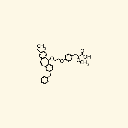 CCc1ccc2c(c1)C=Cc1cc(Cc3ccccc3)ccc1C2OCCOc1ccc(CC(OC)C(=O)O)cc1